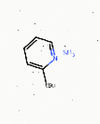 CC(C)(C)c1ccccn1.N